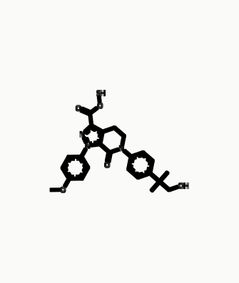 COc1ccc(-n2nc(C(=O)OS)c3c2C(=O)N(c2ccc(C(C)(C)CO)cc2)CC3)cc1